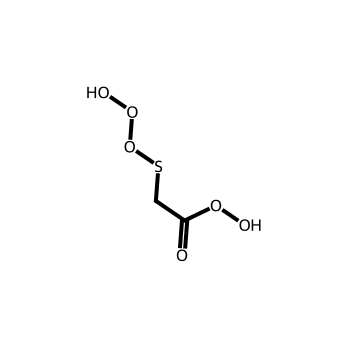 O=C(CSOOO)OO